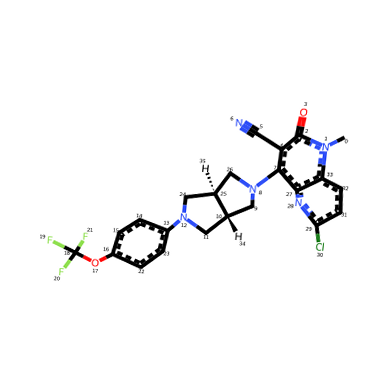 Cn1c(=O)c(C#N)c(N2C[C@@H]3CN(c4ccc(OC(F)(F)F)cc4)C[C@H]3C2)c2nc(Cl)ccc21